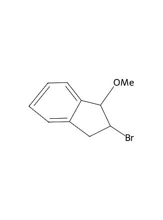 COC1c2ccccc2CC1Br